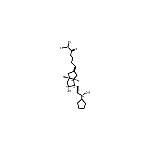 CCN(CC)C(=O)CCC/C=C1\C[C@H]2C[C@@H](O)[C@H](/C=C/[C@@H](O)C3CCCC3)[C@H]2C1